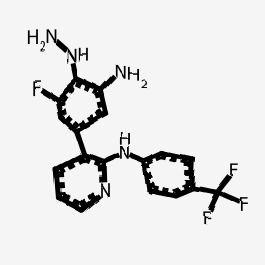 NNc1c(N)cc(-c2cccnc2Nc2ccc(C(F)(F)F)cc2)cc1F